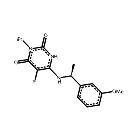 COc1cccc([C@H](C)Nc2[nH]c(=O)n(C(C)C)c(=O)c2F)c1